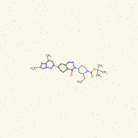 CCC1CC(n2ncc3cc(-c4cc(C)c5nc(C)cn5n4)ccc3c2=O)CCN1C(=O)OC(C)(C)C